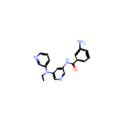 CCN(c1cccnc1)c1cncc(NC(=O)c2cccc(N)c2)c1